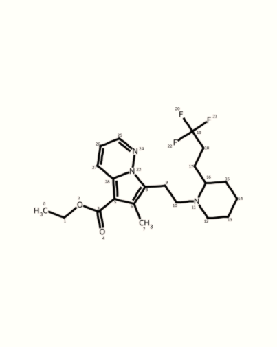 CCOC(=O)c1c(C)c(CCN2CCCCC2CCC(F)(F)F)n2ncccc12